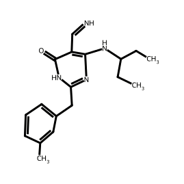 CCC(CC)Nc1nc(Cc2cccc(C)c2)[nH]c(=O)c1C=N